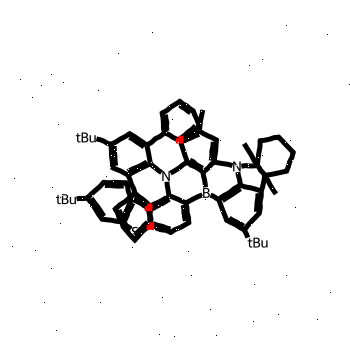 Cc1cc2c3c(c1)N1c4c(cc(C(C)(C)C)cc4C4(C)CCCCC14C)B3c1ccc3sc4cc(C(C)(C)C)ccc4c3c1N2c1c(-c2ccccc2)cc(C(C)(C)C)cc1-c1ccccc1